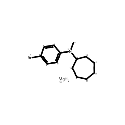 CN(c1ccc(Br)cc1)C1CCCCCC1.[MgH2]